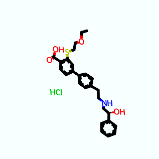 CCOCCSc1cc(-c2ccc(CCNC[C@@H](O)c3ccccc3)cc2)ccc1C(=O)O.Cl